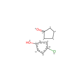 O=C1CCCC1.Oc1ccc(Cl)cc1